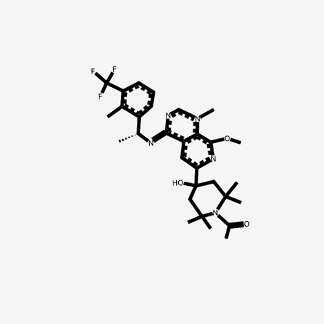 COc1nc(C2(O)CC(C)(C)N(C(C)=O)C(C)(C)C2)cc2/c(=N/[C@H](C)c3cccc(C(F)(F)F)c3C)ncn(C)c12